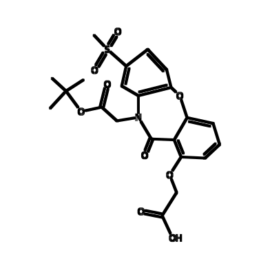 CC(C)(C)OC(=O)CN1C(=O)c2c(OCC(=O)O)cccc2Oc2ccc(S(C)(=O)=O)cc21